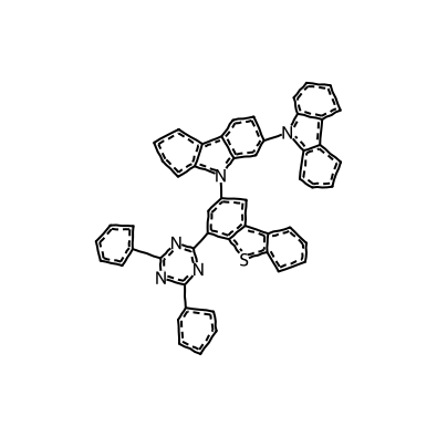 c1ccc(-c2nc(-c3ccccc3)nc(-c3cc(-n4c5ccccc5c5ccc(-n6c7ccccc7c7ccccc76)cc54)cc4c3sc3ccccc34)n2)cc1